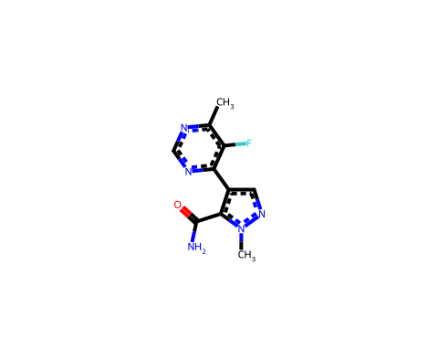 Cc1ncnc(-c2cnn(C)c2C(N)=O)c1F